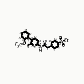 CCS(=O)(=O)c1ccc(CC(=O)Nc2ccc(-c3ccccc3OC(F)(F)F)c(C)n2)cc1